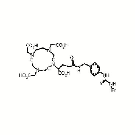 CC(C)NC(=S)Nc1ccc(CNC(=O)CCC(C(=O)O)N2CCN(CC(=O)O)CCN(CC(=O)O)CCN(CC(=O)O)CC2)cc1